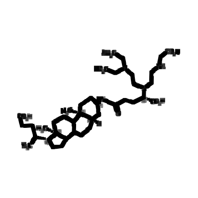 CC(CCC(=O)O)[C@H]1CCC2C3CC[C@@H]4C[C@@H](NC(=O)CC[C@@H](C(=O)O)N(CCNCC(=O)O)CCN(CC(=O)O)CC(=O)O)CC[C@]4(C)C3CC[C@@]21C